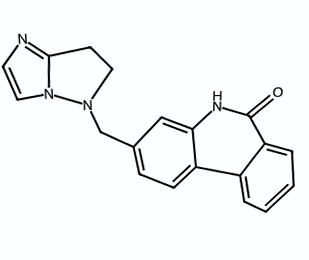 O=c1[nH]c2cc(CN3CCc4nccn43)ccc2c2ccccc12